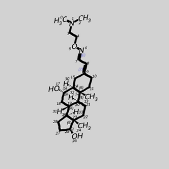 CN(C)CCO/N=C/C=C1/CC[C@@]2(C)[C@H](C1)[C@@H](O)C[C@@H]1[C@@H]2CC[C@]2(C)[C@@H](O)CC[C@@H]12